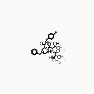 CN[C@@H](C)C(=O)N[C@H](C(=O)N1CCN(Cc2ccccc2)C[C@H]1C(=O)NCc1ccc(F)cc1)C(C)C